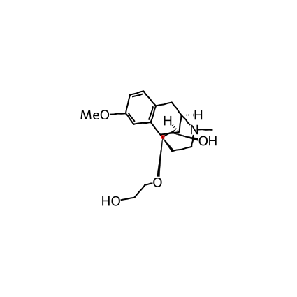 COc1ccc2c(c1)[C@]13CCN(C)[C@H](C2)[C@H]1[C@H](O)C[C@@H](OCCO)C3